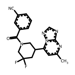 Cc1cc(C2CN(C(=O)c3cccc(C#N)c3)CC(F)(F)C2)n2ncnc2n1